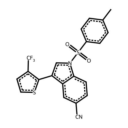 Cc1ccc(S(=O)(=O)n2cc(-c3sccc3C(F)(F)F)c3cc(C#N)ccc32)cc1